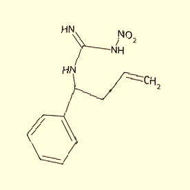 C=CCC(NC(=N)N[N+](=O)[O-])c1ccccc1